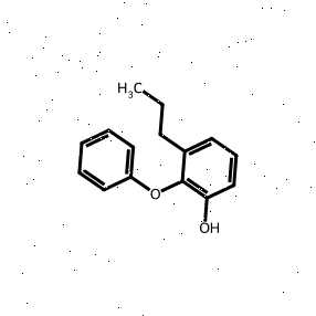 CCCc1cccc(O)c1Oc1ccccc1